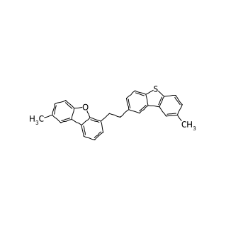 Cc1ccc2oc3c(CCc4ccc5sc6ccc(C)cc6c5c4)cccc3c2c1